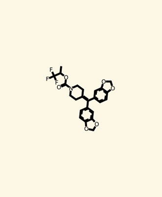 CC(OC(=O)N1CCC(=C(c2ccc3c(c2)OCO3)c2ccc3c(c2)OCO3)CC1)C(F)(F)F